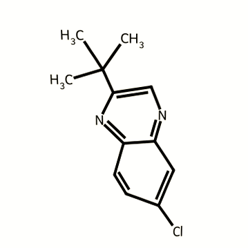 CC(C)(C)c1cnc2cc(Cl)ccc2n1